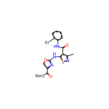 CCc1ccccc1NC(=O)c1c(C)nsc1Nc1nc(C(=O)OC)co1